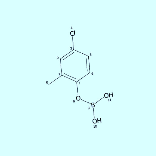 Cc1cc(Cl)ccc1OB(O)O